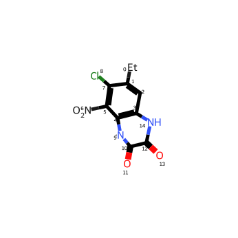 CCc1cc2c(c([N+](=O)[O-])c1Cl)[N]C(=O)C(=O)N2